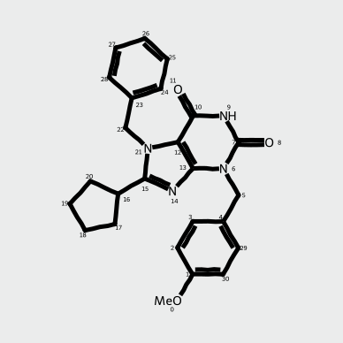 COc1ccc(Cn2c(=O)[nH]c(=O)c3c2nc(C2CCCC2)n3Cc2ccccc2)cc1